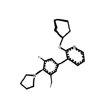 Fc1cc(-c2cccnc2OC2CCCC2)cc(F)c1N1CCCC1